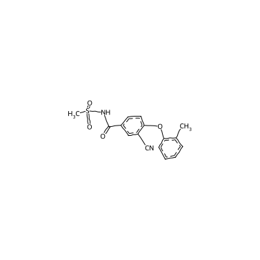 Cc1ccccc1Oc1ccc(C(=O)NS(C)(=O)=O)cc1C#N